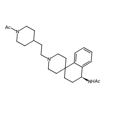 CC(=O)N[C@H]1CCC2(CCN(CCC3CCN(C(C)=O)CC3)CC2)c2ccccc21